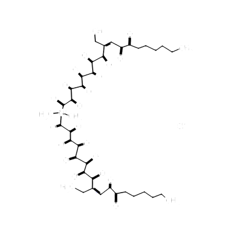 CCCCCCC(=O)C(=O)/C=C(/CC)C(=O)C(=O)C(=O)C(=O)C(=O)C(=O)C(=O)C(=O)[N+](C)(C)C(=O)C(=O)C(=O)C(=O)C(=O)C(=O)C(=O)C(=O)/C(=C\C(=O)C(=O)CCCCCC)CC.[Cl-]